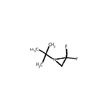 CC(C)(C)N1CC1(F)F